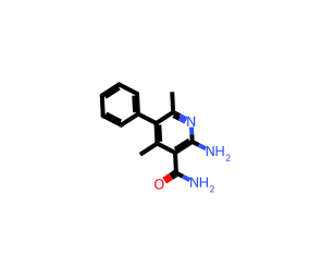 Cc1nc(N)c(C(N)=O)c(C)c1-c1ccccc1